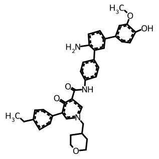 CCc1ccc(-c2cn(CC3CCOCC3)cc(C(=O)Nc3ccc(-c4cc(-c5ccc(O)c(OC)c5)ccc4N)cc3)c2=O)cc1